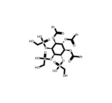 CC(C)C(=O)O[C@@H]1[C@@H](OC(=O)C(C)C)[C@H](OP(=O)(O)CO)[C@@H](OP(=O)(O)CO)[C@@H](OP(=O)(O)CO)[C@H]1OC(=O)C(C)C